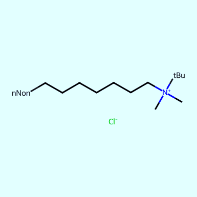 CCCCCCCCCCCCCCCC[N+](C)(C)C(C)(C)C.[Cl-]